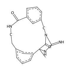 CC12NC(=N)N(Cc3cccc(c3)C(=O)NCCc3cccc1c3)C2=O